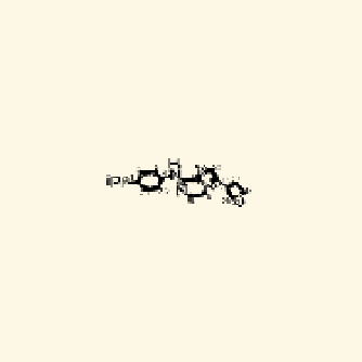 CC(C)c1ccc(Nc2nccn3c(-c4ccoc4)cnc23)cc1